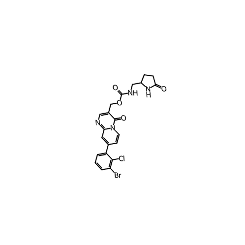 O=C1CCC(CNC(=O)OCc2cnc3cc(-c4cccc(Br)c4Cl)ccn3c2=O)N1